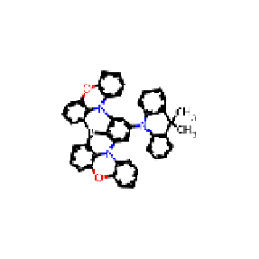 CC1(C)c2ccccc2N(c2cc3c4c(c2)N2c5ccccc5Oc5cccc(c52)B4c2cccc4c2N3c2ccccc2O4)c2ccccc21